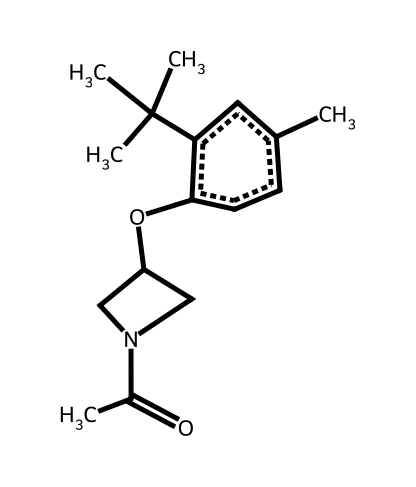 CC(=O)N1CC(Oc2ccc(C)cc2C(C)(C)C)C1